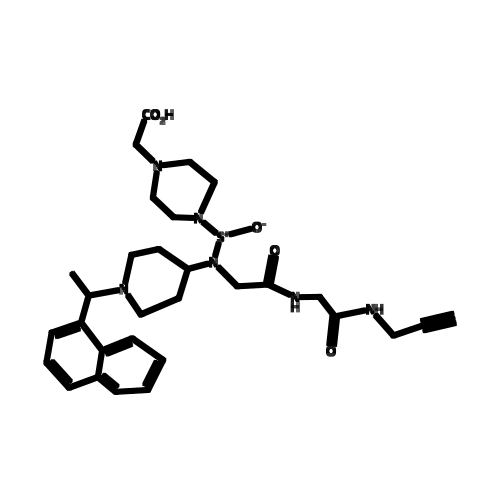 C#CCNC(=O)CNC(=O)CN(C1CCN(C(C)c2cccc3ccccc23)CC1)[S+]([O-])N1CCN(CC(=O)O)CC1